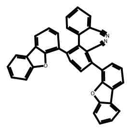 N#Cc1ccccc1-c1c(-c2cccc3c2oc2ccccc23)ccc(-c2cccc3c2oc2ccccc23)c1C#N